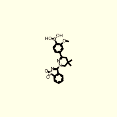 COc1cc(C2=NN(C3=NS(=O)(=O)c4ccccc43)CC(C)(C)C2)ccc1B(O)O